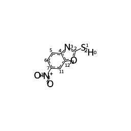 [2H]Sc1nc2ccc([N+](=O)[O-])cc2o1